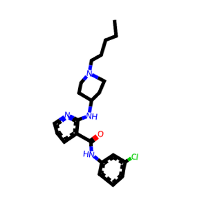 CCCCCN1CCC(Nc2ncccc2C(=O)Nc2cccc(Cl)c2)CC1